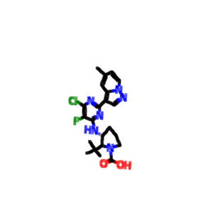 Cc1ccn2ncc(-c3nc(Cl)c(F)c(N[C@@H]4CCCN(C(=O)O)C4C(C)(C)C)n3)c2c1